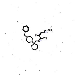 N#CC(=N/CC1(N2CCN(Cc3ccccc3)CC2)CCCCC1)/C(F)=C\C=C\N